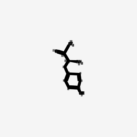 N[C@@H](Cc1ccc(O)cc1)C(=O)C(F)(F)F